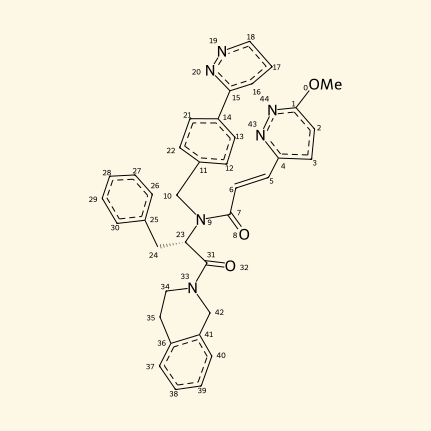 COc1ccc(/C=C/C(=O)N(Cc2ccc(-c3cccnn3)cc2)[C@@H](Cc2ccccc2)C(=O)N2CCc3ccccc3C2)nn1